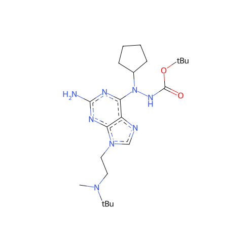 CN(CCn1cnc2c(N(NC(=O)OC(C)(C)C)C3CCCC3)nc(N)nc21)C(C)(C)C